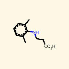 Cc1cccc(C)c1NCCC(=O)O